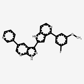 COc1cc(F)cc(-c2nccc3[nH]c(-c4n[nH]c5ncc(-c6cccnc6)cc45)cc23)c1